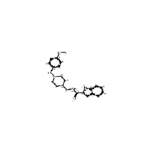 COc1ccc(SN2CCC(CNC(=O)c3cc4ccccc4[nH]3)CC2)cc1